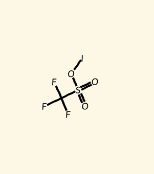 O=S(=O)(OI)C(F)(F)F